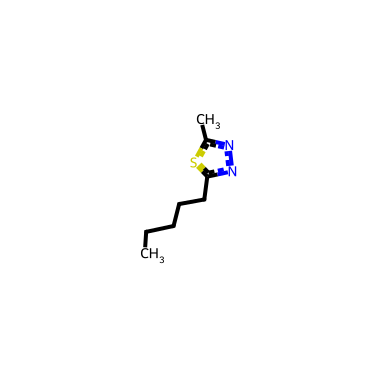 CCCCCc1nnc(C)s1